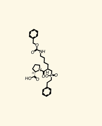 O=C(NCCCCC(CP(=O)(O)CCc1ccccc1)C(=O)N1CCC[C@H]1C(=O)O)OCc1ccccc1